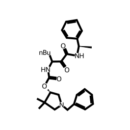 CCCCC(NC(=O)O[C@@H]1CN(Cc2ccccc2)CC1(C)C)C(=O)C(=O)N[C@H](C)c1ccccc1